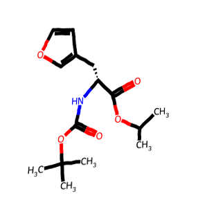 CC(C)OC(=O)[C@@H](Cc1ccoc1)NC(=O)OC(C)(C)C